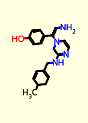 CC1C=CC(CNC2=NC=CN(/C(=C\N)c3ccc(O)cc3)C2)=CC1